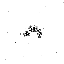 CON=C(C(=O)N[C@@H]1C(=O)N2C(C(=O)[O-])=C(C[n+]3ccc(Cl)c(N)c3)CS[C@@H]12)c1csc(N)n1